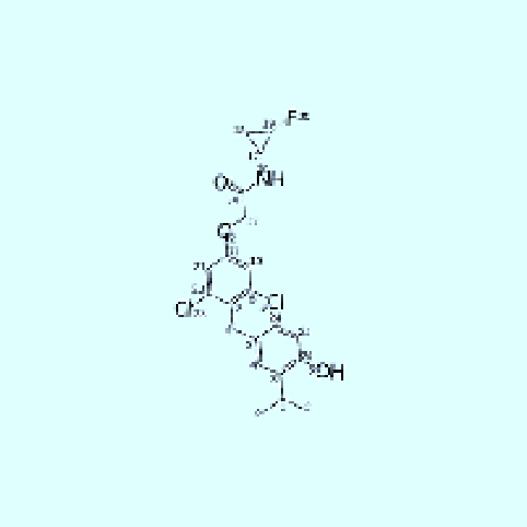 CC(C)c1cc(Cc2c(Cl)cc(OCC(=O)N[C@@H]3C[C@@H]3F)cc2Cl)ccc1O